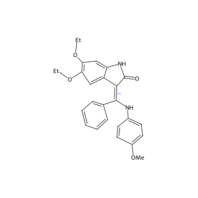 CCOc1cc2c(cc1OCC)/C(=C(/Nc1ccc(OC)cc1)c1ccccc1)C(=O)N2